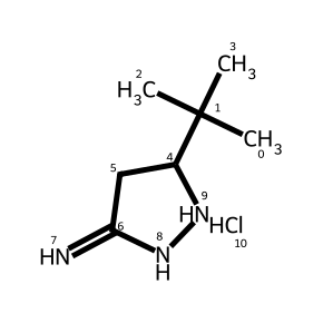 CC(C)(C)C1CC(=N)NN1.Cl